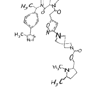 Cc1ncsc1-c1ccc(C(C)NC(=O)C2CCCN2C(=O)Cc2cc(N3CC4(CN(C(=O)OCC5CC[C@@H](C)N5C)C4)C3)no2)cc1